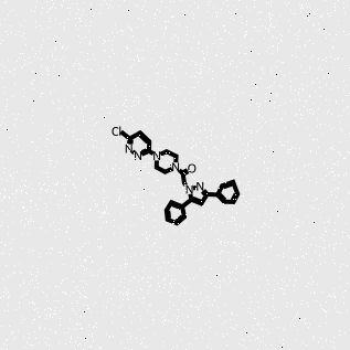 O=C(Cn1nc(-c2ccccc2)cc1-c1ccccc1)N1CCN(c2ccc(Cl)nn2)CC1